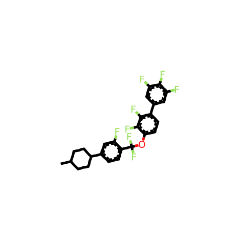 CC1CCC(c2ccc(C(F)(F)Oc3ccc(-c4cc(F)c(F)c(F)c4)c(F)c3F)c(F)c2)CC1